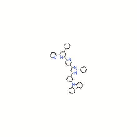 c1ccc(-c2cc(-c3ccccn3)nc(-c3ccc(-c4cc(-c5cccc(-n6c7ccccc7c7ccccc76)c5)nc(-c5ccccc5)n4)cn3)c2)cc1